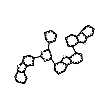 c1ccc(-c2nc(-c3ccc4oc5ccccc5c4c3)nc(-c3cccc4c3oc3c(-c5cccc6c5oc5ccccc56)cccc34)n2)cc1